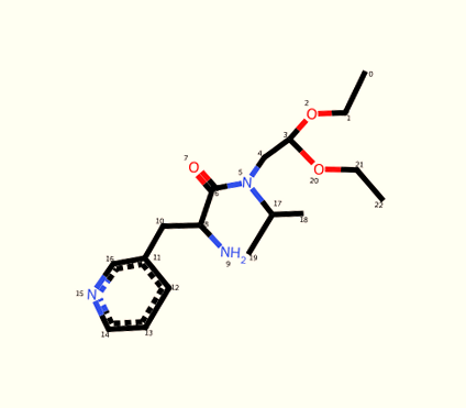 CCOC(CN(C(=O)C(N)Cc1cccnc1)C(C)C)OCC